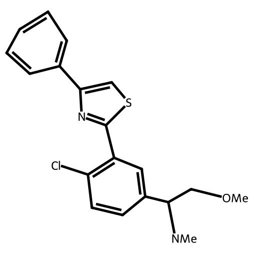 CNC(COC)c1ccc(Cl)c(-c2nc(-c3ccccc3)cs2)c1